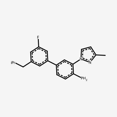 Cc1ccn(-c2cc(-c3cc(F)cc(CC(C)C)c3)ccc2P)n1